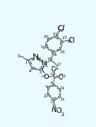 Cc1cc(OS(=O)(=O)c2ccc([N+](=O)[O-])cc2)n(C(C)c2ccc(Cl)c(Cl)c2)n1